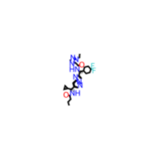 CCCC(=O)N[C@@H](c1cnn2cc([C@@H](NC(=O)c3ncnn3CC)C3CCC(F)(F)CC3)nc2c1)C1CC1